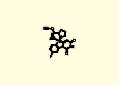 CC(C)(C)OC(=O)C1CCCN1[N+]1(C2CC2)c2ccc(F)cc2-n2c1cc(=O)[nH]c2=O